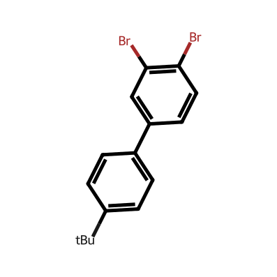 CC(C)(C)c1ccc(-c2ccc(Br)c(Br)c2)cc1